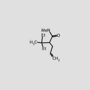 C=CCC(C(=O)NC)C(C)(CC)CC